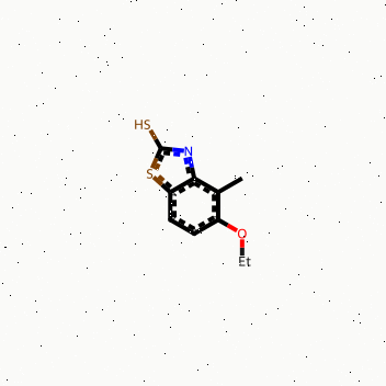 CCOc1ccc2sc(S)nc2c1C